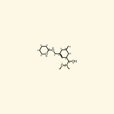 CON(C)C(O)C1C=C(COC2CCCCO2)CC(C)C1